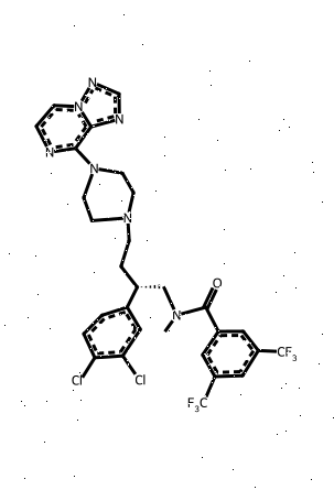 CN(C[C@@H](CCN1CCN(c2nccn3ncnc23)CC1)c1ccc(Cl)c(Cl)c1)C(=O)c1cc(C(F)(F)F)cc(C(F)(F)F)c1